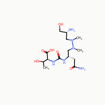 CC(O)[C@H](NC(=O)N[C@@H](CC(N)=O)CN(C)N(C)C[C@@H](N)CO)C(=O)O